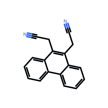 N#CCc1c(CC#N)c2ccccc2c2ccccc12